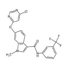 Cn1cc(C(=O)Nc2cccc(C(F)(F)F)c2)c2ccc(Oc3cc(Cl)ncn3)cc21